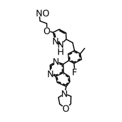 Cc1cc(F)c(-c2ncnc3cc(N4CCOCC4)ccc23)cc1CC1C=CC(OCCN=O)=NN1